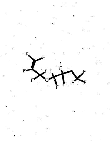 FC(F)=C(F)C(F)(F)OC(F)(F)C(F)(F)CC(F)(F)F